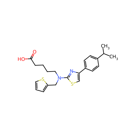 CC(C)c1ccc(-c2csc(N(CCCCC(=O)O)Cc3cccs3)n2)cc1